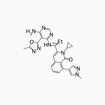 CC[C@H](Nc1ncnc(N)c1-c1nnc(C)o1)c1cc2cccc(-c3cnn(C)c3)c2c(=O)n1C1CC1